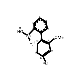 COC1=C(c2ccccc2B(O)O)CCC(Cl)=C1